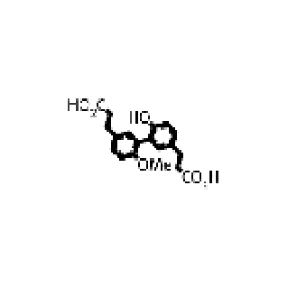 COc1ccc(CCC(=O)O)cc1-c1cc(CCC(=O)O)ccc1O